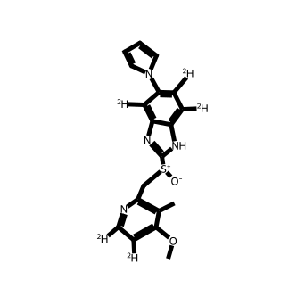 [2H]c1nc(C[S+]([O-])c2nc3c([2H])c(-n4cccc4)c([2H])c([2H])c3[nH]2)c(C)c(OC)c1[2H]